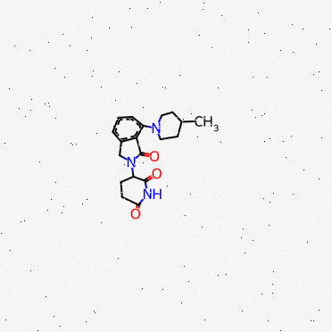 CC1CCN(c2cccc3c2C(=O)N(C2CCC(=O)NC2=O)C3)CC1